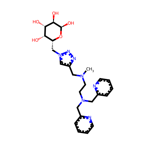 CN(CCN(Cc1ccccn1)Cc1ccccn1)Cc1cn(C[C@H]2O[C@H](O)[C@H](O)[C@@H](O)[C@H]2O)nn1